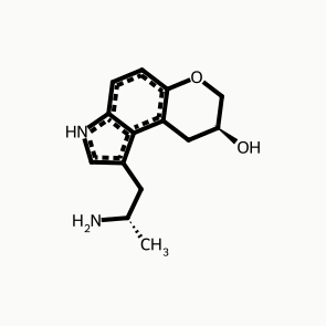 C[C@H](N)Cc1c[nH]c2ccc3c(c12)C[C@H](O)CO3